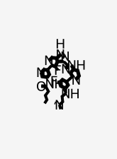 CCCCC(=O)Nc1cncc(-c2ncc3[nH]nc(-c4nc5c(-c6cc(F)cc(NCCN(C)C)c6)nccc5[nH]4)c3c2F)c1